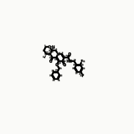 C[C@@H]1CCO[C@H]2Cn3cc(C(=O)NCc4ccc(F)cc4F)c(=O)c(OCc4ccccc4)c3C(=O)N12